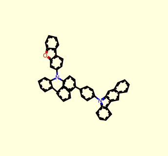 c1ccc(-c2ccccc2N(c2ccc(-c3ccc(-n4c5ccccc5c5cc6ccccc6cc54)cc3)cc2)c2ccc3c(c2)oc2ccccc23)cc1